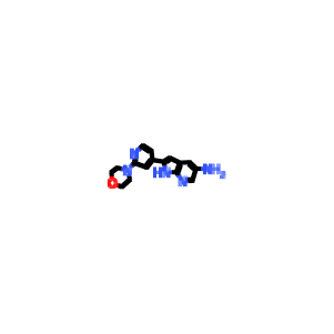 Nc1cnc2[nH]c(-c3ccnc(N4CCOCC4)c3)cc2c1